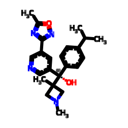 Cc1nc(-c2cncc([C@@](O)(c3ccc(C(C)C)cc3)C3(C)CN(C)C3)c2)no1